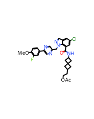 COc1ccc(-c2cnc(Cn3ncc4cc(Cl)cc(C(=O)NC5CC6(CC(CCOC(C)=O)C6)C5)c43)cn2)cc1F